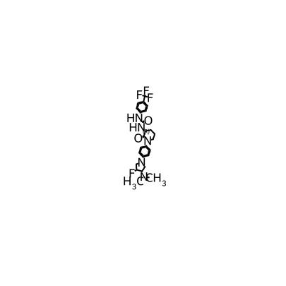 CN(C)C1CN(c2ccc(N3CCC[C@@H](NC(=O)Nc4ccc(C(F)(F)F)cc4)C3=O)cc2)CC1F